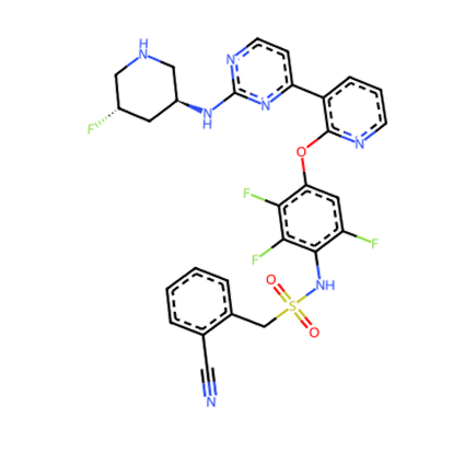 N#Cc1ccccc1CS(=O)(=O)Nc1c(F)cc(Oc2ncccc2-c2ccnc(N[C@@H]3CNC[C@@H](F)C3)n2)c(F)c1F